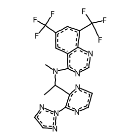 CC(c1nccnc1-n1nccn1)N(C)c1ncnc2c(C(F)(F)F)cc(C(F)(F)F)cc12